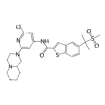 CC(C)(c1ccc2sc(C(=O)Nc3cc(Cl)nc(N4CCN5CCCCC5C4)c3)cc2c1)S(C)(=O)=O